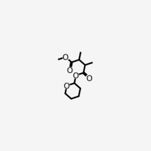 COC(=O)C(C)C(C)C(=O)OC1CCCCO1